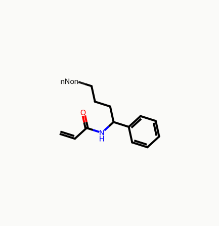 C=CC(=O)NC(CCCCCCCCCCCC)c1ccccc1